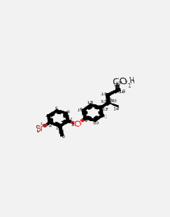 Cc1c(Br)cccc1Oc1ccc([C@H](C)CCC(=O)O)cc1